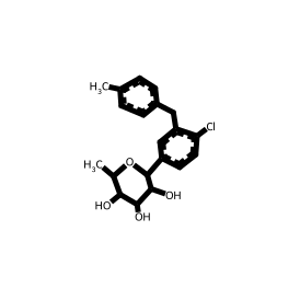 Cc1ccc(Cc2cc(C3OC(C)C(O)C(O)C3O)ccc2Cl)cc1